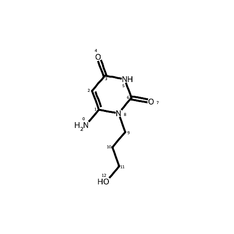 Nc1cc(=O)[nH]c(=O)n1CCCO